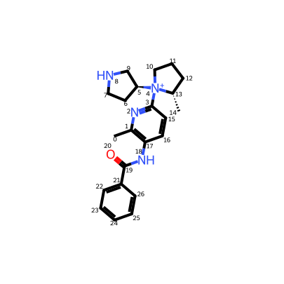 Cc1nc([N+]2([C@H]3CCNC3)CCC[C@@H]2C)ccc1NC(=O)c1ccccc1